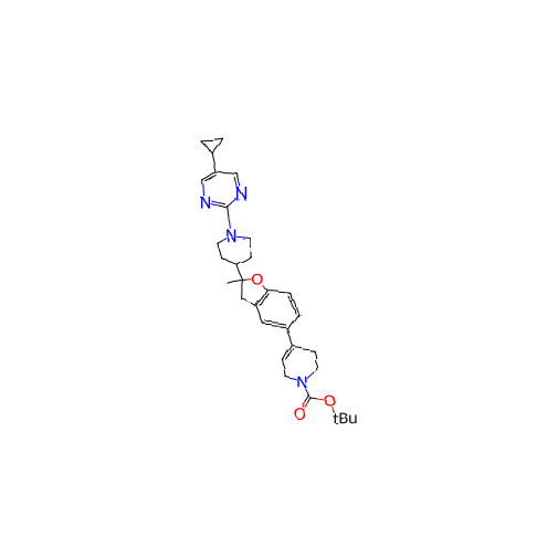 CC(C)(C)OC(=O)N1CC=C(c2ccc3c(c2)CC(C)(C2CCN(c4ncc(C5CC5)cn4)CC2)O3)CC1